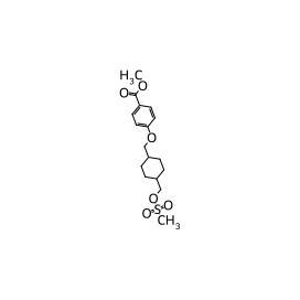 COC(=O)c1ccc(OCC2CCC(COS(C)(=O)=O)CC2)cc1